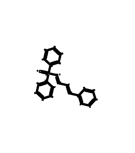 O=P(/N=C/C=C/c1ccccc1)(c1ccccc1)c1ccccc1